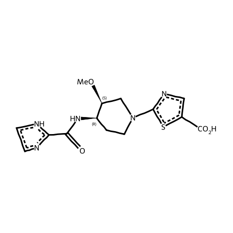 CO[C@H]1CN(c2ncc(C(=O)O)s2)CC[C@H]1NC(=O)c1ncc[nH]1